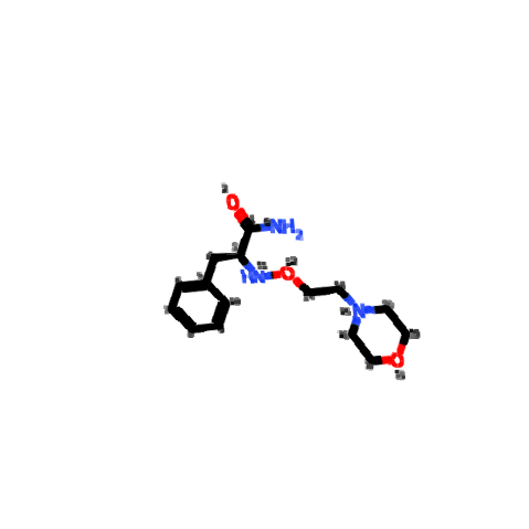 NC(=O)[C@H](Cc1ccccc1)NOCCN1CCOCC1